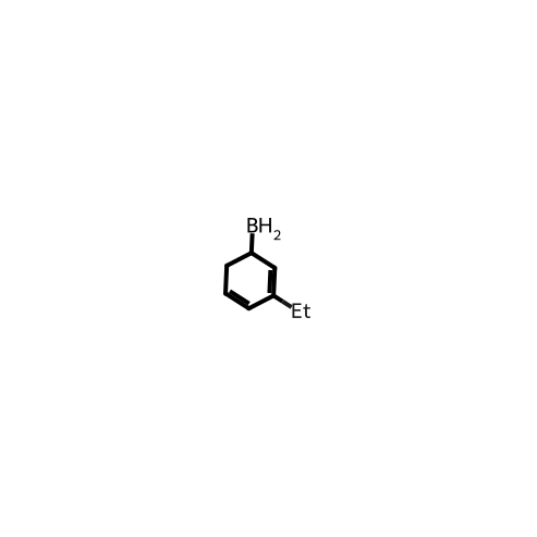 BC1C=C(CC)C=CC1